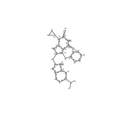 CC(C)c1ccc2nc(Cc3nc4c(c(=O)[nH]c(=O)n4C4CC4)n3Cc3ccccc3)[nH]c2c1